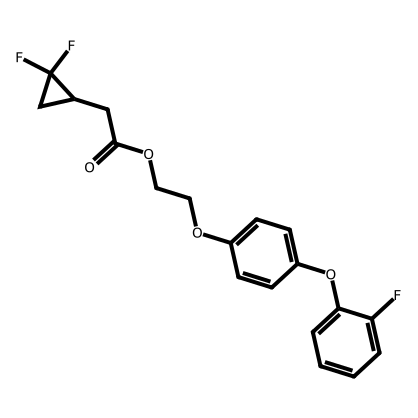 O=C(CC1CC1(F)F)OCCOc1ccc(Oc2ccccc2F)cc1